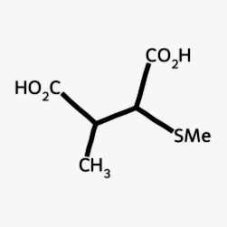 CSC(C(=O)O)C(C)C(=O)O